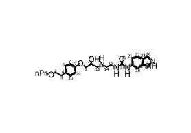 CCCOCCc1ccc(OCC(O)CNCCNC(=O)Nc2ccc3cn[nH]c3c2)cc1